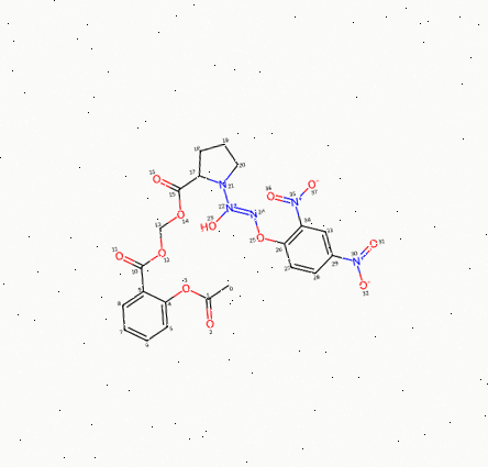 CC(=O)Oc1ccccc1C(=O)OCOC(=O)C1CCCN1/[N+](O)=N/Oc1ccc([N+](=O)[O-])cc1[N+](=O)[O-]